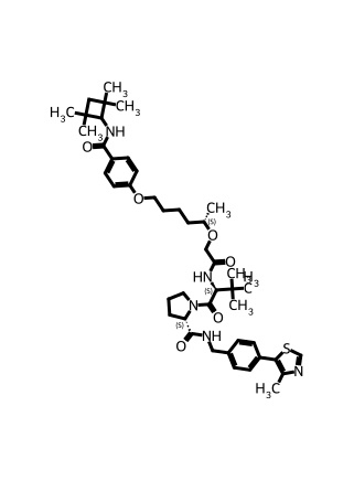 Cc1ncsc1-c1ccc(CNC(=O)[C@@H]2CCCN2C(=O)[C@@H](NC(=O)CO[C@@H](C)CCCCOc2ccc(C(=O)NC3C(C)(C)CC3(C)C)cc2)C(C)(C)C)cc1